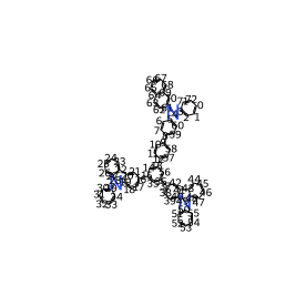 c1ccc(N(c2ccc(-c3ccc(-c4cc(-c5ccc6c(c5)c5ccccc5n6-c5ccccc5)cc(-c5ccc6c(c5)c5ccccc5n6-c5ccccc5)c4)cc3)cc2)c2ccc3ccccc3c2)cc1